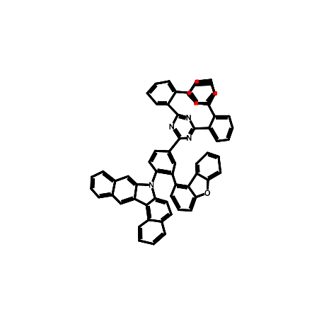 c1cccc(-c2ccccc2-c2nc(-c3ccc(-n4c5cc6ccccc6cc5c5c6ccccc6ccc54)c(-c4cccc5oc6ccccc6c45)c3)nc(-c3ccccc3-c3ccccc3)n2)c#1